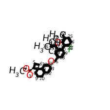 COC(=O)[C@H]1CC[C@@]12CCCc1ccc(OCc3ccc(-c4cc(C)ccc4F)c([C@H](OC)C(C)(C)C)c3)cc12